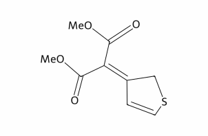 COC(=O)C(C(=O)OC)=C1C=CSC1